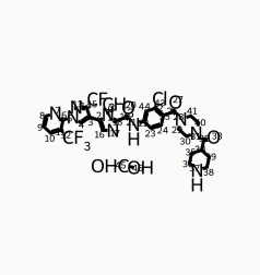 Cn1c(-c2cn(-c3ncccc3C(F)(F)F)nc2C(F)(F)F)cnc1C(=O)Nc1ccc(C(=O)N2CCN(C(=O)C3CCNCC3)CC2)c(Cl)c1.O=CO